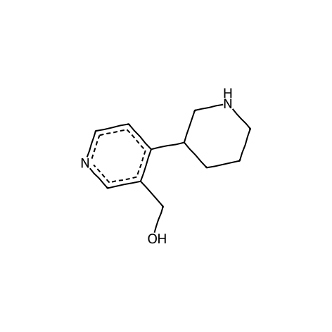 OCc1cnccc1C1CCCNC1